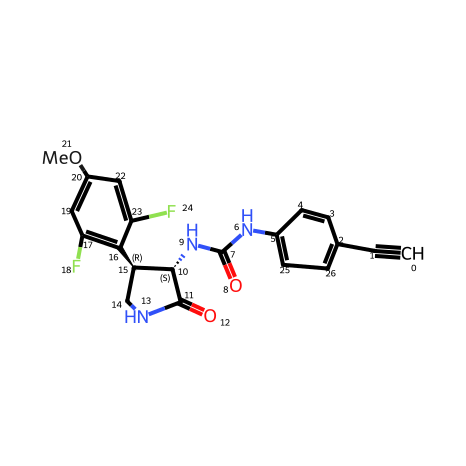 C#Cc1ccc(NC(=O)N[C@@H]2C(=O)NC[C@H]2c2c(F)cc(OC)cc2F)cc1